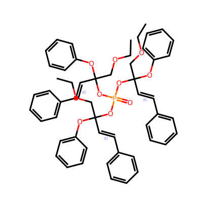 CCOCC(/C=C/c1ccccc1)(Oc1ccccc1)OP(=O)(OC(/C=C/c1ccccc1)(COCC)Oc1ccccc1)OC(/C=C/c1ccccc1)(COCC)Oc1ccccc1